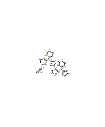 [Cl][Ni][Cl].[Fe+2].c1ccc([PH+](c2ccccc2)c2ccc[cH-]2)cc1.c1ccc([PH+](c2ccccc2)c2ccc[cH-]2)cc1